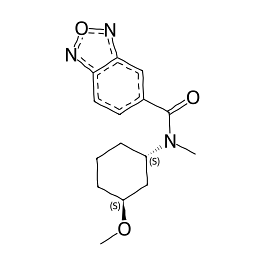 CO[C@H]1CCC[C@H](N(C)C(=O)c2ccc3nonc3c2)C1